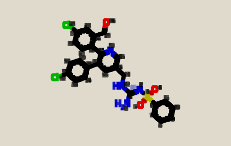 N/C(=N\S(=O)(=O)c1ccccc1)NCc1cnc(-c2ccc(Cl)cc2C=O)c(-c2ccc(Cl)cc2)c1